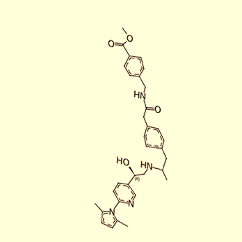 COC(=O)c1ccc(CNC(=O)Cc2ccc(CC(C)NC[C@H](O)c3ccc(-n4c(C)ccc4C)nc3)cc2)cc1